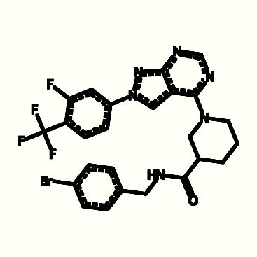 O=C(NCc1ccc(Br)cc1)C1CCCN(c2ncnc3nn(-c4ccc(C(F)(F)F)c(F)c4)cc23)C1